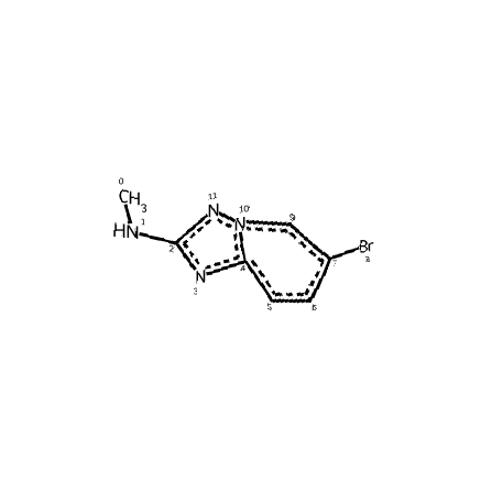 CNc1nc2ccc(Br)cn2n1